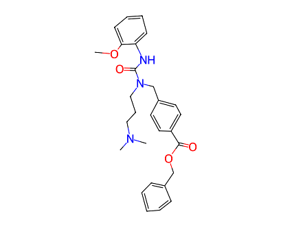 COc1ccccc1NC(=O)N(CCCN(C)C)Cc1ccc(C(=O)OCc2ccccc2)cc1